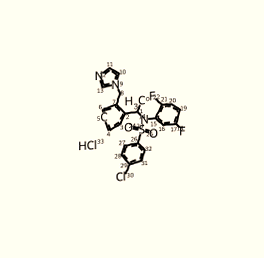 CC(c1ccccc1Cn1ccnc1)N(c1cc(F)ccc1F)S(=O)(=O)c1ccc(Cl)cc1.Cl